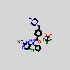 CN1CCN(Cc2ccc(C(=O)NN(c3nc(C#N)ncc3Cl)C3CCCC3)cc2)CC1.O=C(O)C(F)(F)F